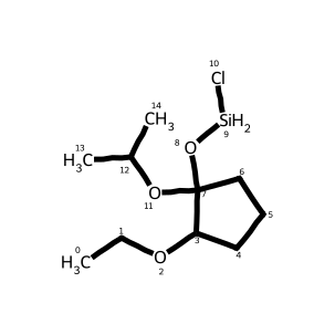 CCOC1CCCC1(O[SiH2]Cl)OC(C)C